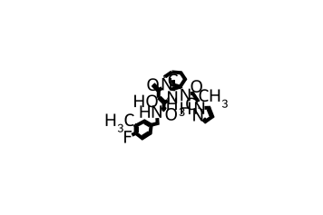 Cc1cc(CNC(=O)c2nc3n(c(=O)c2O)CC2CCC3(NC(=O)C(C)(C)n3cccn3)CC2)ccc1F